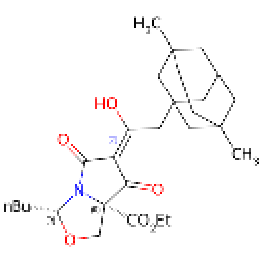 CCCC[C@H]1OC[C@]2(C(=O)OCC)C(=O)/C(=C(/O)CC34CC5CC(C)(CC(C)(C5)C3)C4)C(=O)N12